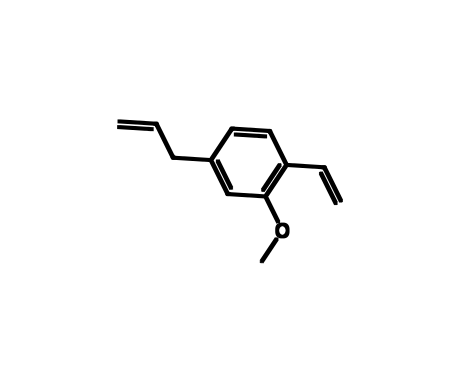 C=CCc1ccc(C=C)c(OC)c1